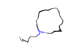 [Li][CH2]CCN1CCCCCCCCCCCC1